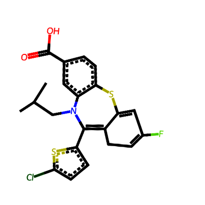 CC(C)CN1C(c2ccc(Cl)s2)=C2CC=C(F)C=C2Sc2ccc(C(=O)O)cc21